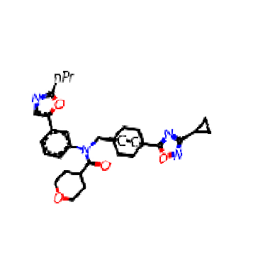 CCCc1ncc(-c2cccc(N(CC34CCC(c5nc(C6CC6)no5)(CC3)CC4)C(=O)C3CCOCC3)c2)o1